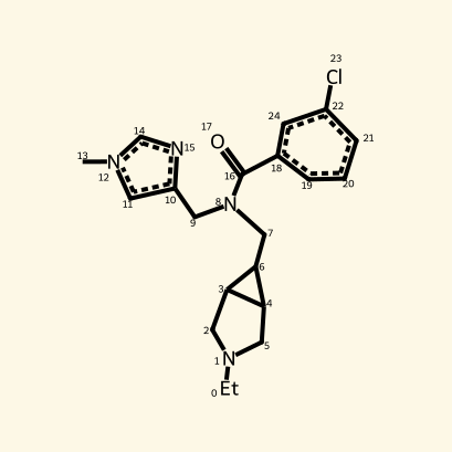 CCN1CC2C(C1)C2CN(Cc1cn(C)cn1)C(=O)c1cccc(Cl)c1